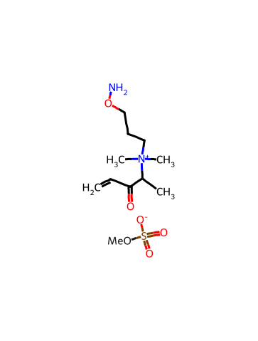 C=CC(=O)C(C)[N+](C)(C)CCCON.COS(=O)(=O)[O-]